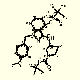 COc1ccc(Cn2nc(N[C@H]3CCN(C(=O)OC(C)(C)C)C3)c3c(OS(=O)(=O)C(F)(F)F)ccnc32)cc1